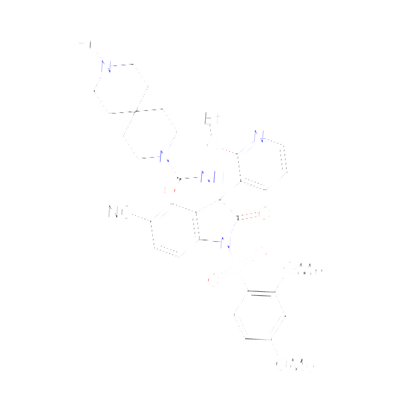 CCOc1ncccc1[C@@]1(NC(=O)N2CCC3(CCN(CC)CC3)CC2)C(=O)N(S(=O)(=O)c2ccc(OC)cc2OC)c2ccc(C#N)cc21